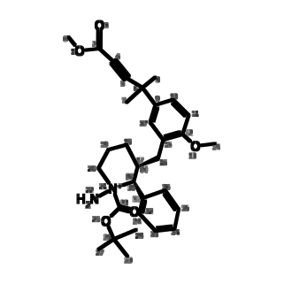 COC(=O)C#CC(C)(C)c1ccc(OC)c(C[C@@H]2CCC[N+](N)(C(=O)OC(C)(C)C)[C@@H]2c2ccccc2)c1